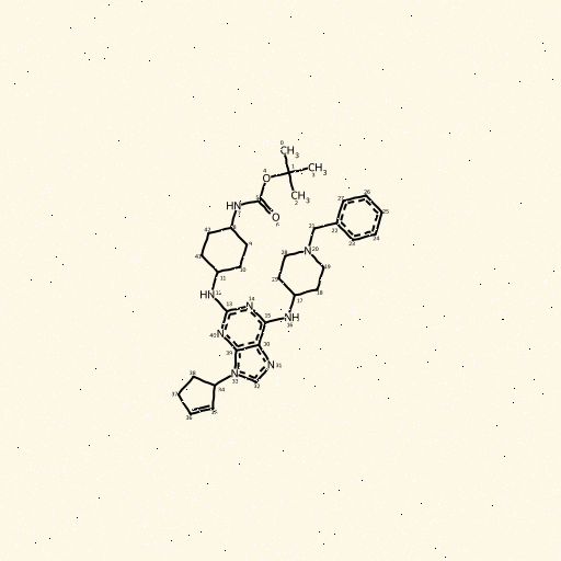 CC(C)(C)OC(=O)NC1CCC(Nc2nc(NC3CCN(Cc4ccccc4)CC3)c3ncn(C4C=CCC4)c3n2)CC1